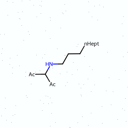 CCCCCCCCCCNC(C(C)=O)C(C)=O